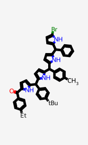 CCc1ccc(C(=O)c2ccc(C(c3ccc(C(C)(C)C)cc3)c3ccc(C(c4ccc(C)cc4)c4ccc(C(c5ccccc5)c5ccc(Br)[nH]5)[nH]4)[nH]3)[nH]2)cc1